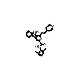 Cc1cccc(C)c1NC(=O)c1cc2c([nH]c3ccccc32)c(CCc2ccncc2)n1